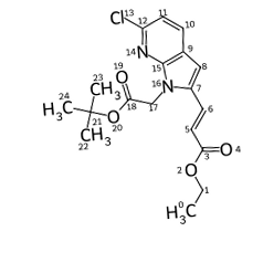 CCOC(=O)C=Cc1cc2ccc(Cl)nc2n1CC(=O)OC(C)(C)C